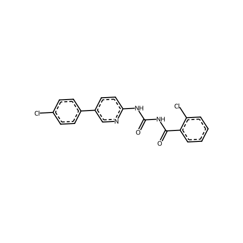 O=C(NC(=O)c1ccccc1Cl)Nc1ccc(-c2ccc(Cl)cc2)cn1